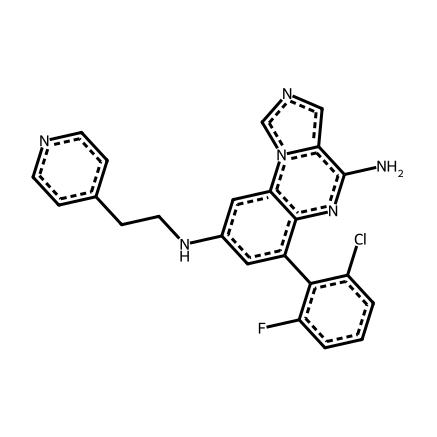 Nc1nc2c(-c3c(F)cccc3Cl)cc(NCCc3ccncc3)cc2n2cncc12